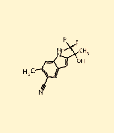 Cc1cc2[nH]c(C(C)(O)C(F)(F)F)cc2cc1C#N